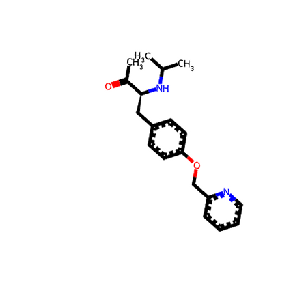 CC(=O)[C@H](Cc1ccc(OCc2ccccn2)cc1)NC(C)C